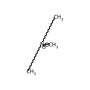 CCCCCCCCCCCCCCCCCCN(CCCCCCCCCCCCCCCCCC)C(=O)COCC